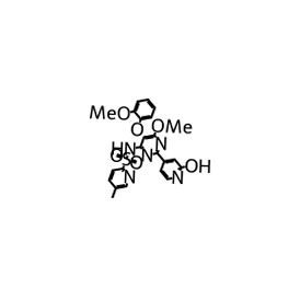 COc1ccccc1Oc1c(NS(=O)(=O)c2ccc(C)cn2)nc(-c2ccnc(O)c2)nc1OC